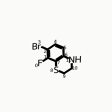 Fc1c(Br)ccc2c1SCCN2